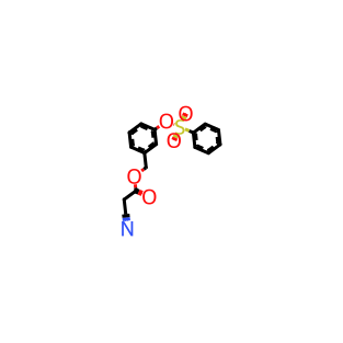 N#CCC(=O)OCc1cccc(OS(=O)(=O)c2ccccc2)c1